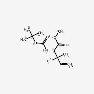 C=CC(C)(C)[C@H](NC(=O)OC(C)(C)C)C(=O)OC